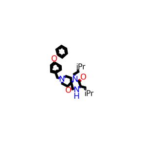 CC(C)CCN1C(=O)C(CC(C)C)NC(=O)C12CCN(Cc1ccc(Oc3ccccc3)cc1)CC2